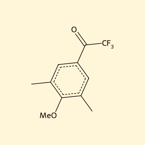 COc1c(C)cc(C(=O)C(F)(F)F)cc1C